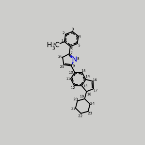 Cc1ccccc1C1=NC(c2ccc3c(c2)C=CC3C2CCCCC2)=CC1